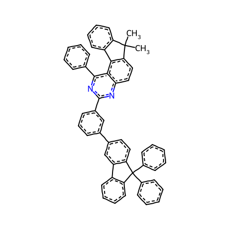 CC1(C)c2ccccc2-c2c1ccc1nc(-c3cccc(-c4ccc5c(c4)-c4ccccc4C5(c4ccccc4)c4ccccc4)c3)nc(-c3ccccc3)c21